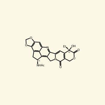 CC[C@@]1(O)C(=O)OCc2c1cc1n(c2=O)Cc2c-1nc1cc3c(c4c1c2[C@@H](NC(C)=O)C4)OCO3